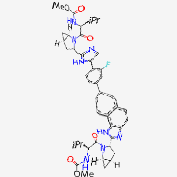 COC(=O)N[C@H](C(=O)N1C(c2ncc(-c3ccc(-c4ccc5c(ccc6nc([C@@H]7C[C@H]8C[C@H]8N7C(=O)[C@@H](NC(=O)OC)C(C)C)[nH]c65)c4)cc3F)[nH]2)C[C@H]2C[C@H]21)C(C)C